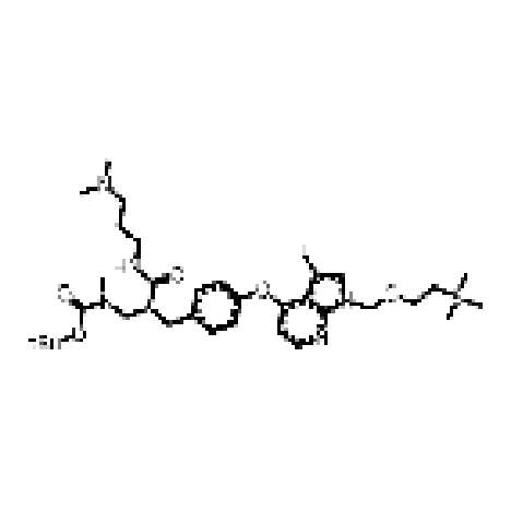 CN(C)CCCNC(=O)C(CNC(=O)OC(C)(C)C)Cc1ccc(Oc2ccnc3c2c(I)cn3COCCS(C)(C)C)cc1